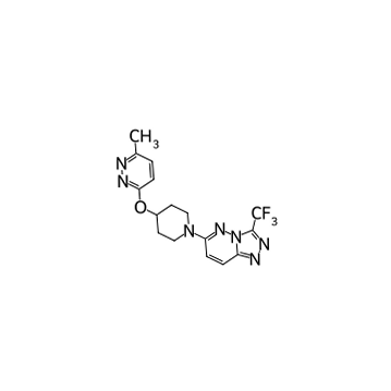 Cc1ccc(OC2CCN(c3ccc4nnc(C(F)(F)F)n4n3)CC2)nn1